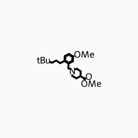 COC(=O)C1CCN(Cc2cc(OC)ccc2CCCC(C)(C)C)CC1